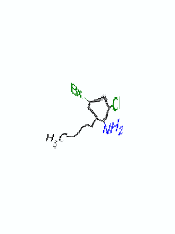 CCCCc1cc(Br)cc(Cl)c1N